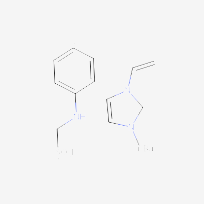 C=CN1C=CN(CCCC)C1.O=S(=O)(O)CNc1ccccc1